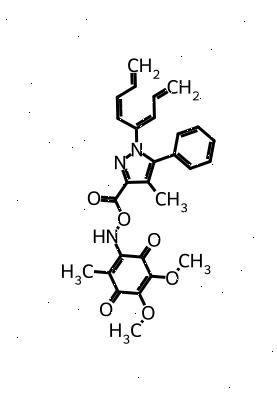 C=C/C=C\C(=C/C=C)n1nc(C(=O)ONC2=C(C)C(=O)C(OC)=C(OC)C2=O)c(C)c1-c1ccccc1